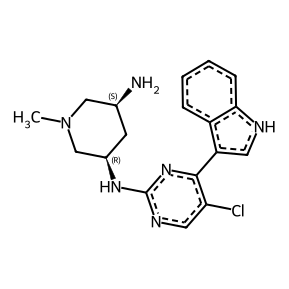 CN1C[C@@H](N)C[C@@H](Nc2ncc(Cl)c(-c3c[nH]c4ccccc34)n2)C1